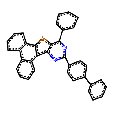 c1ccc(-c2ccc(-c3nc(-c4ccccc4)c4sc5c6ccccc6c6ccccc6c5c4n3)cc2)cc1